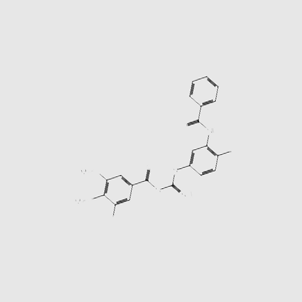 COc1cc(C(=O)NC(=N)Nc2ccc(F)c(NC(=O)c3ccccc3)c2)cc(O)c1OC